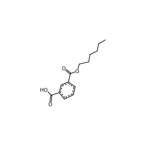 CCCCCCOC(=O)c1cccc(C(=O)O)c1